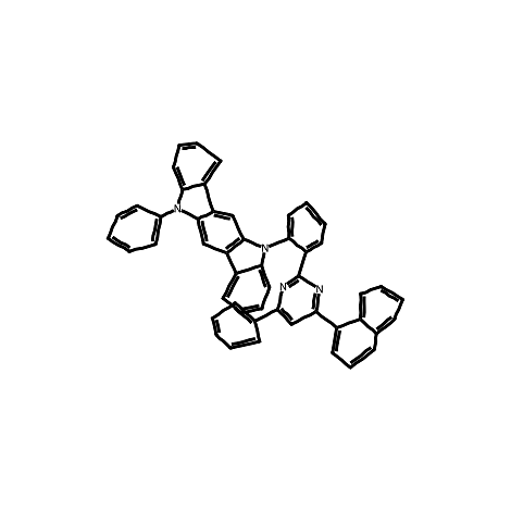 c1ccc(-c2cc(-c3cccc4ccccc34)nc(-c3ccccc3-n3c4ccccc4c4cc5c(cc43)c3ccccc3n5-c3ccccc3)n2)cc1